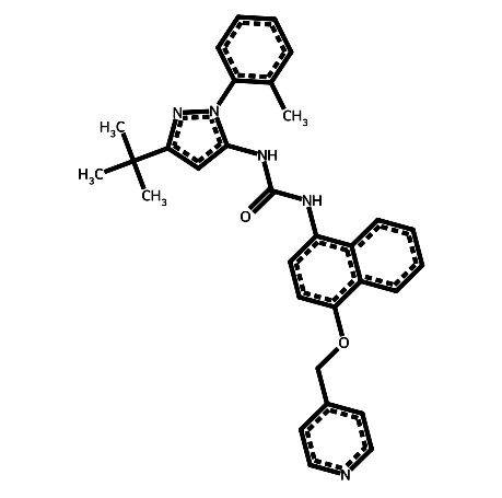 Cc1ccccc1-n1nc(C(C)(C)C)cc1NC(=O)Nc1ccc(OCc2ccncc2)c2ccccc12